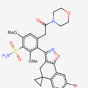 COc1cc(CC(=O)N2CCOCC2)c(-c2noc3c2CC2(CC2)c2ccc(Br)cc2-3)c(OC)c1S(N)(=O)=O